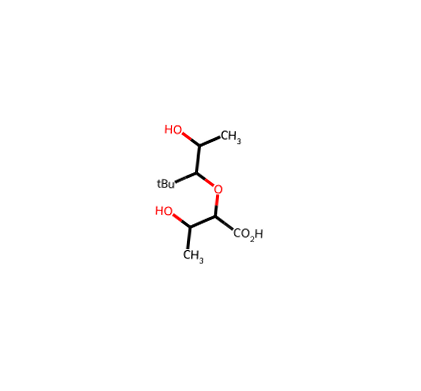 CC(O)C(OC(C(C)O)C(C)(C)C)C(=O)O